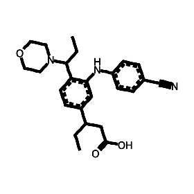 CCC(CC(=O)O)c1ccc(C(CC)N2CCOCC2)c(Nc2ccc(C#N)cc2)c1